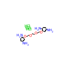 Cl.Cl.Cl.Cl.Nc1ccc(N)c(OCCOCCOCCOc2cc(N)ccc2N)c1